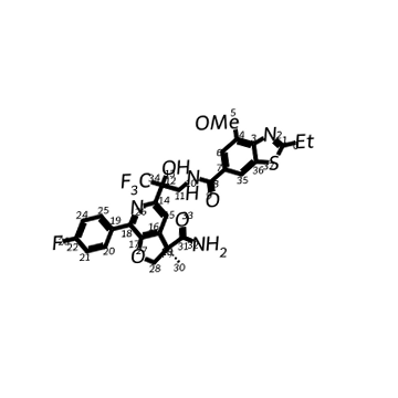 CCc1nc2c(OC)cc(C(=O)NCC(O)(c3cc4c(c(-c5ccc(F)cc5)n3)OC[C@]4(C)C(N)=O)C(F)(F)F)cc2s1